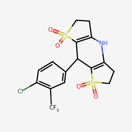 O=S1(=O)CCC2=C1C(c1ccc(Cl)c(C(F)(F)F)c1)C1=C(CCS1(=O)=O)N2